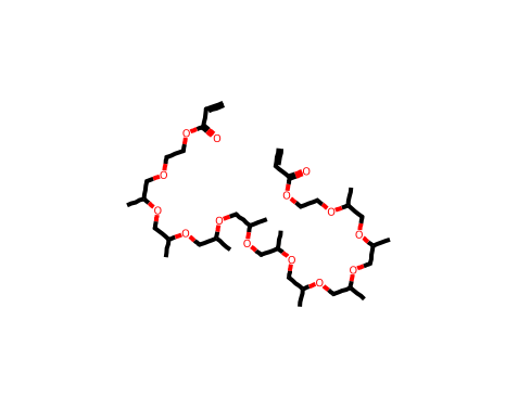 C=CC(=O)OCCOCC(C)OCC(C)OCC(C)OCC(C)OCC(C)OCC(C)OCC(C)OCC(C)OCC(C)OCCOC(=O)C=C